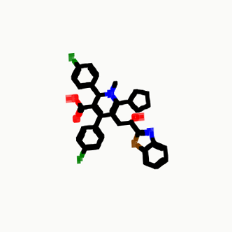 CN1C(C2CCCC2)=C(CC(O)c2nc3ccccc3s2)C(c2ccc(F)cc2)=C(C(=O)O)C1c1ccc(F)cc1